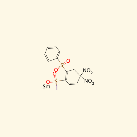 O=[N+]([O-])C1([N+](=O)[O-])C=CC(S(=O)(=O)I)=C(S(=O)(=O)c2ccccc2)C1.[Sm]